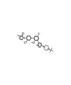 COc1c(-c2ccc(-n3ccn(C)c3=O)c(Cl)c2)cc(F)cc1-c1cc(N2CCN(C(C)(C)C)CC2)no1